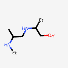 CCNC(C)CNC(CC)CO